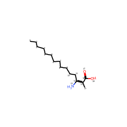 CCCCCCCCCCCC/C(N)=C(/C)C(=O)O